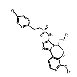 CCOC[C@@H]1COc2c(ccnc2OCC)-c2nnc(NS(=O)(=O)CCc3ncc(Cl)cn3)n21